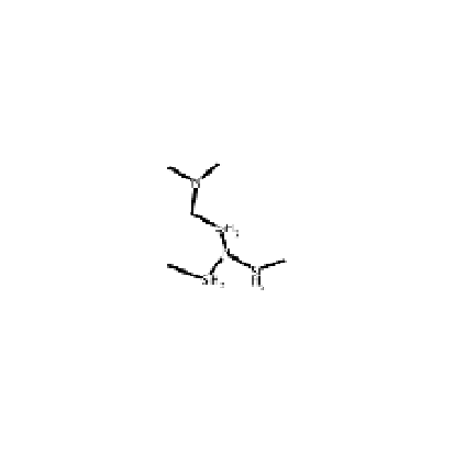 C[SiH2]N([SiH2]C)[SiH2]CN(C)C